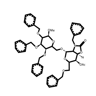 CO[C@H]1OC(CO[C@H]2OC(COCc3ccccc3)[C@H](OC(C)=O)[C@@H]3OC(=O)N(Cc4ccccc4)C23)[C@@H](OCc2ccccc2)[C@@H](OCc2ccccc2)C1OCc1ccccc1